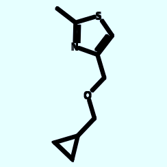 Cc1nc(COCC2CC2)cs1